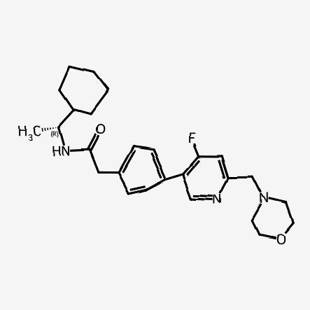 C[C@@H](NC(=O)Cc1ccc(-c2cnc(CN3CCOCC3)cc2F)cc1)C1CCCCC1